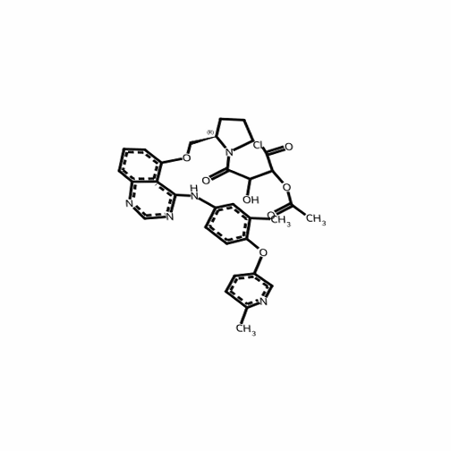 CC(=O)OC(C(=O)Cl)C(O)C(=O)N1CCC[C@@H]1COc1cccc2ncnc(Nc3ccc(Oc4ccc(C)nc4)c(C)c3)c12